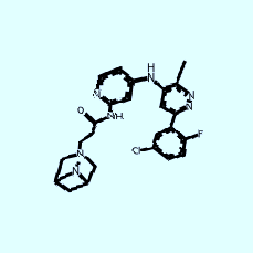 Cc1nnc(-c2cc(Cl)ccc2F)cc1Nc1ccnc(NC(=O)CCN2CC3CC(C2)N3C)c1